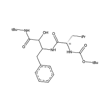 CC(C)C[C@H](NC(=O)OC(C)(C)C)C(=O)NC(Cc1ccccc1)C(O)C(=O)NC(C)(C)C